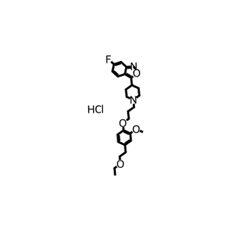 CCOCCc1ccc(OCCCN2CCC(c3onc4cc(F)ccc34)CC2)c(OC)c1.Cl